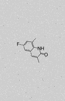 Cc1cc2cc(F)cc(C)c2[nH]c1=O